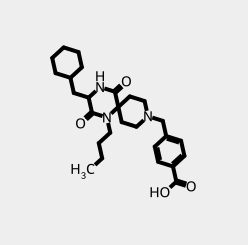 CCCCN1C(=O)C(CC2CCCCC2)NC(=O)C12CCN(Cc1ccc(C(=O)O)cc1)CC2